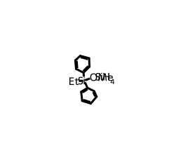 CC[Si](OC)(c1ccccc1)c1ccccc1.[SiH4]